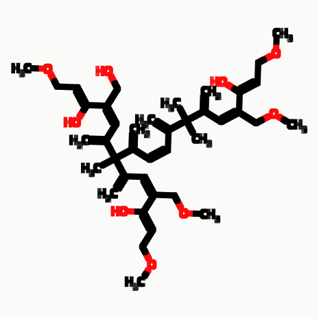 C=C(/C=C\C(=C)C(C)(C(=C)/C=C(CO)\C(O)=C\COC)C(=C)/C=C(COC)\C(O)=C\COC)C(C)(C)C(=C)/C=C(COC)\C(O)=C\COC